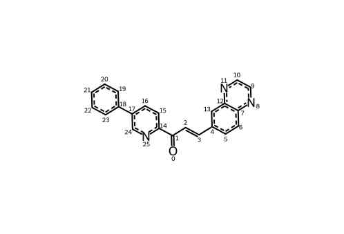 O=C(C=Cc1ccc2nccnc2c1)c1ccc(-c2ccccc2)cn1